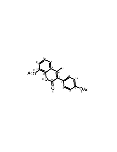 CC(=O)Oc1ccc(-c2c(C)c3cccc(OC(C)=O)c3oc2=O)cc1